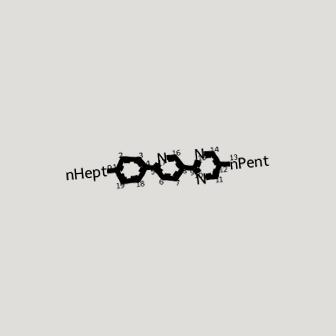 CCCCCCCc1ccc(-c2ccc(-c3ncc(CCCCC)cn3)cn2)cc1